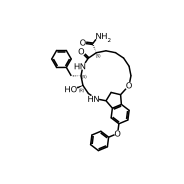 NC(=O)[C@@H]1CCCCCOC2CC(NC[C@@H](O)[C@H](Cc3ccccc3)NC1=O)c1cc(Oc3ccccc3)ccc12